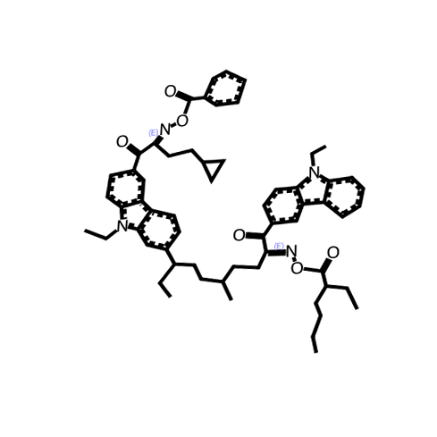 CCCCC(CC)C(=O)O/N=C(\CCC(C)CCC(CC)c1ccc2c3cc(C(=O)/C(CCC4CC4)=N/OC(=O)c4ccccc4)ccc3n(CC)c2c1)C(=O)c1ccc2c(c1)c1ccccc1n2CC